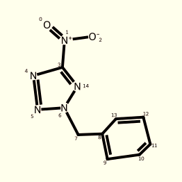 O=[N+]([O-])c1nnn(Cc2ccccc2)n1